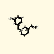 N=C[C@H]1CCCN(Cc2cccc(F)n2)C1